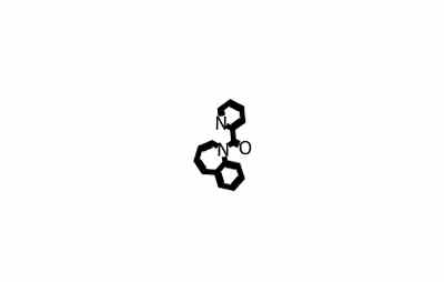 O=C(c1ccccn1)N1C=CC=Cc2ccccc21